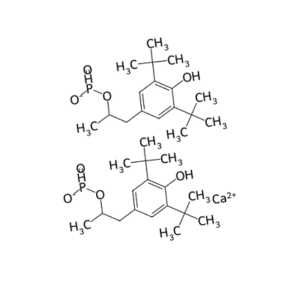 CC(Cc1cc(C(C)(C)C)c(O)c(C(C)(C)C)c1)O[PH](=O)[O-].CC(Cc1cc(C(C)(C)C)c(O)c(C(C)(C)C)c1)O[PH](=O)[O-].[Ca+2]